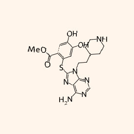 COC(=O)c1cc(O)c(O)cc1Sc1nc2c(N)ncnc2n1CCC1CCNCC1